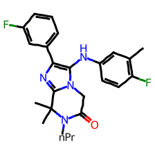 CCCN1C(=O)Cn2c(nc(-c3cccc(F)c3)c2Nc2ccc(F)c(C)c2)C1(C)C